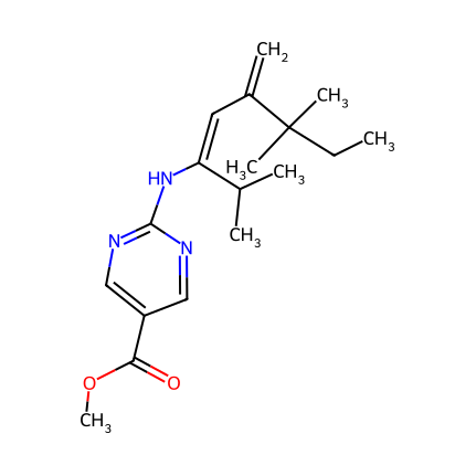 C=C(/C=C(/Nc1ncc(C(=O)OC)cn1)C(C)C)C(C)(C)CC